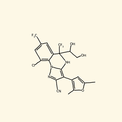 Cc1cc(-c2c(C#N)nn3c2NC(C(O)CO)(C(F)(F)F)c2cc(C(F)(F)F)cc(Cl)c2-3)c(C)o1